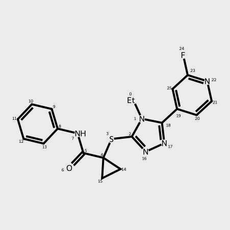 CCn1c(SC2(C(=O)Nc3ccccc3)CC2)nnc1-c1ccnc(F)c1